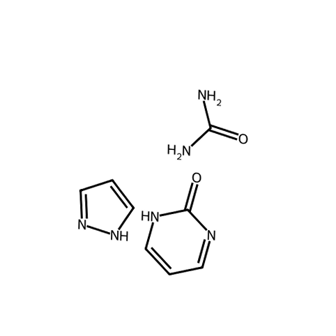 NC(N)=O.O=c1nccc[nH]1.c1cn[nH]c1